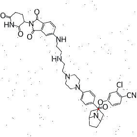 N#Cc1ccc(OC2CC3CCC(C2)N3C(=O)c2ccc(N3CCN(CCNCCNc4ccc5c(c4)C(=O)N(C4CCC(=O)NC4=O)C5=O)CC3)cc2)cc1Cl